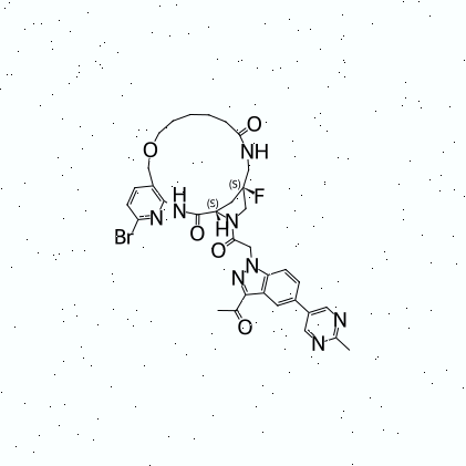 CC(=O)c1nn(CC(=O)N2C[C@@]3(F)CNC(=O)CCCCCOCc4ccc(Br)nc4NC(=O)[C@@H]2C3)c2ccc(-c3cnc(C)nc3)cc12